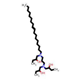 CCCCCCCCC=CCCCCCCCCN(CCCN(CC(O)CC)CC(O)CC)CC(O)CC